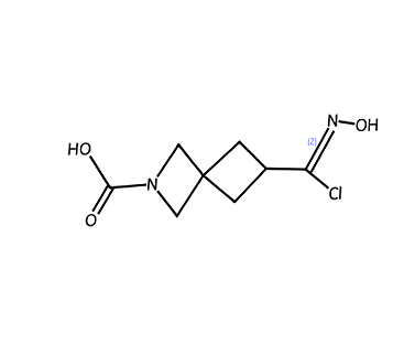 O=C(O)N1CC2(CC(/C(Cl)=N/O)C2)C1